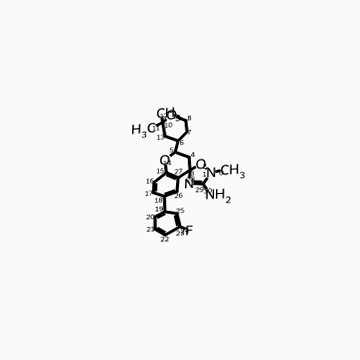 CN1OC2(CC(C3CCOC(C)(C)C3)Oc3ccc(-c4cccc(F)c4)cc32)N=C1N